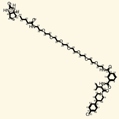 CC(C)[C@@H](NC(=O)c1cccc(C(=O)NCCOCCOCCOCCOCCOCCOCCOCCNC(=O)CCCC[C@@H]2SCC3NC(=O)N[C@@H]32)c1)C(=O)N1CCC(c2ccc(Cl)cc2)CC1